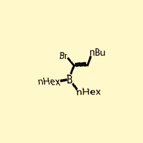 CCCCC=C(Br)B(CCCCCC)CCCCCC